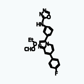 CCOC=O.Fc1ccc(-c2ccn3c(-c4cccc(Nc5nnco5)c4)cnc3c2)cc1